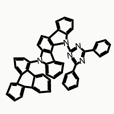 c1ccc(-c2nc(-c3ccccc3)nc(-n3c4ccccc4c4ccc5c(c6ccccc6n5-c5cccc6c7ccccc7c7ccccc7c56)c43)n2)cc1